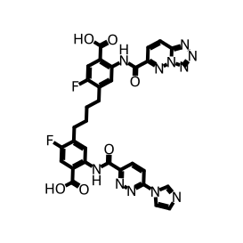 O=C(Nc1cc(CCCCc2cc(NC(=O)c3ccc4nnnn4n3)c(C(=O)O)cc2F)c(F)cc1C(=O)O)c1ccc(-n2ccnc2)nn1